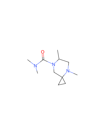 CC1CN(C)C2(CC2)CN1C(=O)N(C)C